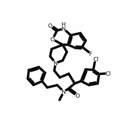 CN(CCc1ccccc1)C(=O)C(CCCN1CCC2(CC1)OC(=O)Nc1ccc(F)cc12)c1ccc(Cl)c(Cl)c1